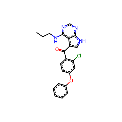 CCCNc1ncnc2[nH]cc(C(=O)c3ccc(Oc4ccccc4)cc3Cl)c12